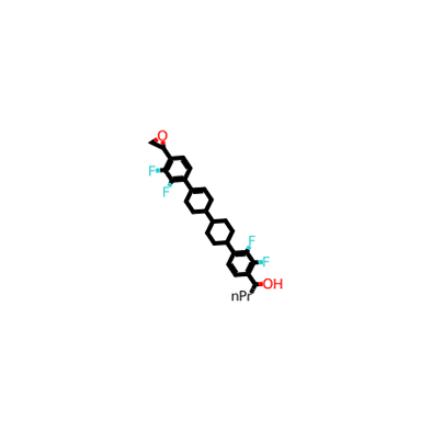 CCCC(O)c1ccc(C2CCC(C3CC=C(c4ccc(C5CO5)c(F)c4F)CC3)CC2)c(F)c1F